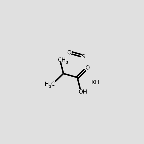 CC(C)C(=O)O.O=S.[KH]